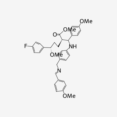 COC(=O)[C@H](CC[C@H](OC)c1ccc(F)cc1)C(Nc1ccc(C/N=C/c2ccc(OC)cc2)cc1)c1ccc(OC)cc1